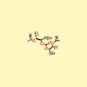 CC/C(O[SiH](C)C)=C(/OC(=O)O/C(=C(/CC)O[SiH](C)C)C(C)(C)C)C(C)(C)C